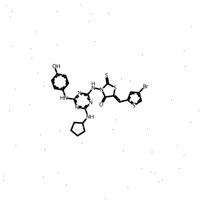 O=C1/C(=C/c2cc(Br)cs2)SC(=S)N1Nc1nc(Nc2ccc(O)cc2)nc(NC2CCCC2)n1